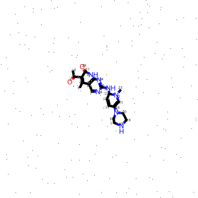 CC(=O)c1c(C)c2cnc(NC3C=CC(N4CCNCC4)=CN3C)nc2[nH]c1=O